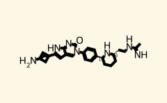 CC(=N)NCC[C@@H]1CCC[C@@H](c2ccc(-n3cc4cc(C56CC(N)(C5)C6)[nH]c4nc3=O)cc2)N1